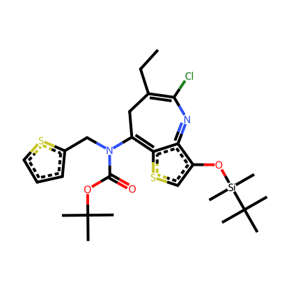 CCC1=C(Cl)N=c2c(O[Si](C)(C)C(C)(C)C)csc2=C(N(Cc2cccs2)C(=O)OC(C)(C)C)C1